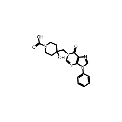 O=C(O)N1CCC(O)(Cn2cnc3c(ncn3-c3ccccc3)c2=O)CC1